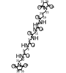 O=C(CCNC(=O)CNC(=O)CNC(=O)CNC(=O)CCCN1C(=O)CCC1=O)NCCN1C(=O)C=CC1=O